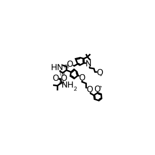 COCCCN1CC(C)(C)c2ccc(CO[C@H]3CNC[C@@H](OC(=O)[C@@H](N)C(C)C)C3c3ccc(OCCCOCc4ccccc4OC)cc3)cc21